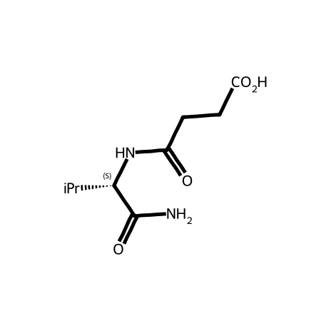 CC(C)[C@H](NC(=O)CCC(=O)O)C(N)=O